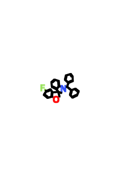 Fc1ccc2c(c1)C1(CO2)CN(C(c2ccccc2)c2ccccc2)c2ccccc21